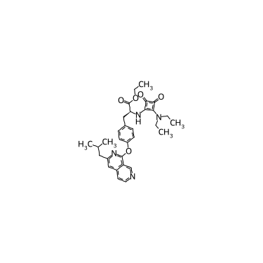 CCOC(=O)[C@H](Cc1ccc(Oc2nc(CC(C)C)cc3ccncc23)cc1)Nc1c(N(CC)CC)c(=O)c1=O